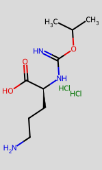 CC(C)OC(=N)N[C@@H](CCCN)C(=O)O.Cl.Cl